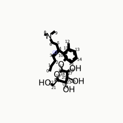 CCC/C=C(/CCN(C)C)c1c(C)cccc1O[C@@H]1O[C@H](CO)[C@@H](O)[C@H](O)C1O